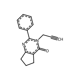 C#CCn1c(-c2ccccc2)nc2c(c1=O)CCC2